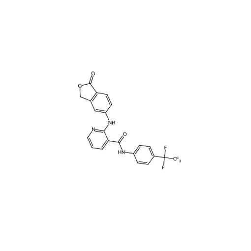 O=C1OCc2cc(Nc3ncccc3C(=O)Nc3ccc(C(F)(F)C(F)(F)F)cc3)ccc21